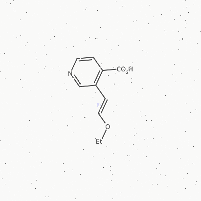 CCO/C=C/c1cnccc1C(=O)O